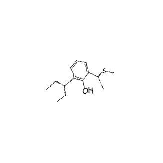 CCC(CC)c1cccc(C(C)SC)c1O